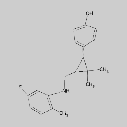 Cc1ccc(F)cc1NCC1[C@H](c2ccc(O)cc2)C1(C)C